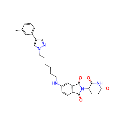 Cc1cccc(-c2cnn(CCCCCCNc3ccc4c(c3)C(=O)N(C3CCC(=O)NC3=O)C4=O)c2)c1